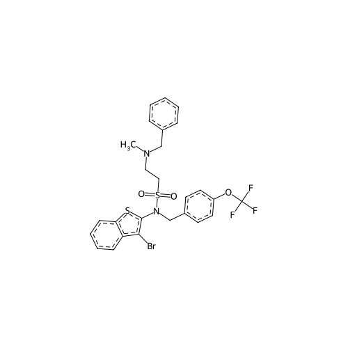 CN(CCS(=O)(=O)N(Cc1ccc(OC(F)(F)F)cc1)c1sc2ccccc2c1Br)Cc1ccccc1